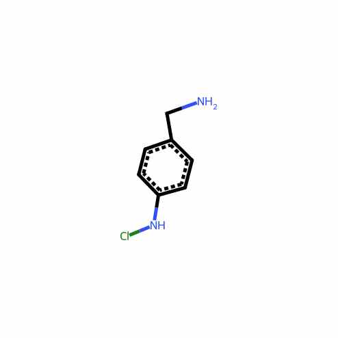 NCc1ccc(NCl)cc1